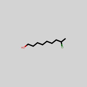 CC(Cl)CCCCCCCO